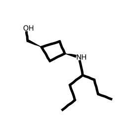 CCCC(CCC)N[C@H]1C[C@@H](CO)C1